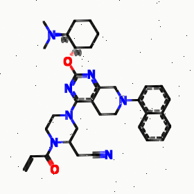 C=CC(=O)N1CCN(c2nc(O[C@H]3CCCC[C@@H]3N(C)C)nc3c2CCN(c2cccc4ccccc24)C3)CC1CC#N